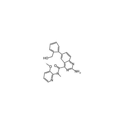 COc1cccnc1N(C)C(=O)c1nc(N)nc2ccc(-c3ccccc3CO)cc12